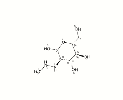 CNN[C@H]1C(O)O[C@H](CO)[C@@H](O)[C@@H]1O